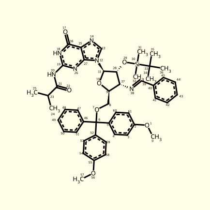 COc1ccc(C(OC[C@H]2O[C@@H](n3cnc4c(=O)[nH]c(NC(=O)C(C)C)nc43)[C@H](O[Si](C)(C)C(C)(C)C)[C@@H]2/N=C/c2ccccc2)(c2ccccc2)c2ccc(OC)cc2)cc1